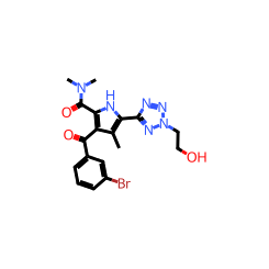 Cc1c(-c2nnn(CCO)n2)[nH]c(C(=O)N(C)C)c1C(=O)c1cccc(Br)c1